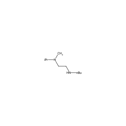 CCCCNCCN(C)C(C)C